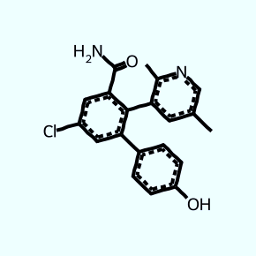 Cc1cnc(C)c(-c2c(C(N)=O)cc(Cl)cc2-c2ccc(O)cc2)c1